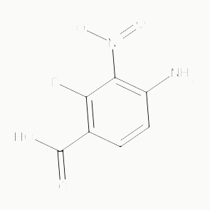 Nc1ccc(C(=O)O)c(F)c1[N+](=O)[O-]